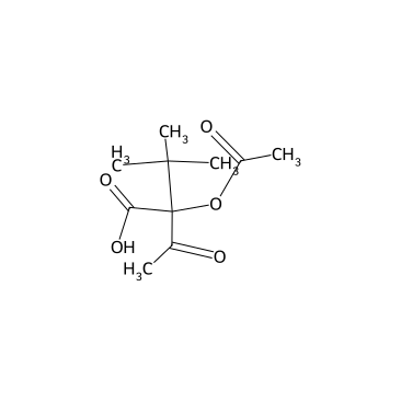 CC(=O)OC(C(C)=O)(C(=O)O)C(C)(C)C